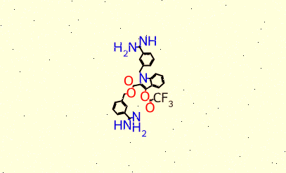 N=C(N)c1cccc(COC(=O)c2c(OC(=O)C(F)(F)F)c3ccccc3n2Cc2cccc(C(=N)N)c2)c1